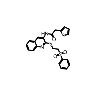 O=C(Cc1cccs1)Nc1cc2ccccc2nc1SCCS(=O)(=O)c1ccccc1